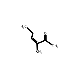 CCC=C(C)C(C)=O